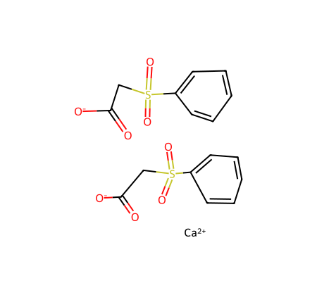 O=C([O-])CS(=O)(=O)c1ccccc1.O=C([O-])CS(=O)(=O)c1ccccc1.[Ca+2]